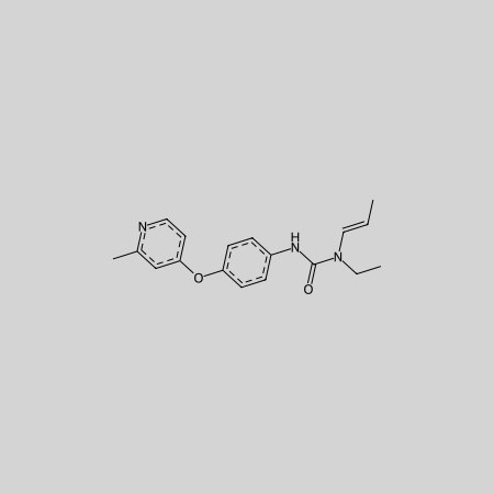 CC=CN(CC)C(=O)Nc1ccc(Oc2ccnc(C)c2)cc1